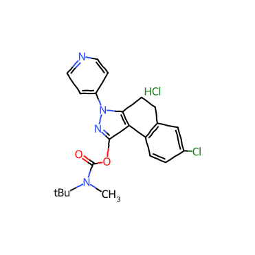 CN(C(=O)Oc1nn(-c2ccncc2)c2c1-c1ccc(Cl)cc1CC2)C(C)(C)C.Cl